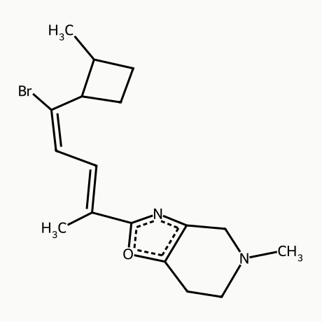 C/C(=C\C=C(\Br)C1CCC1C)c1nc2c(o1)CCN(C)C2